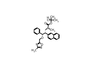 Cc1noc(CO[C@H](c2ccccc2)[C@H](CN(C)C(=O)OC(C)(C)C)c2ccc3ccccc3c2)n1